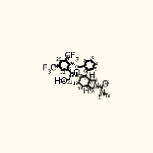 Cc1ccccc1[C@H]1[C@@H]2CN(C(=O)N(C)C)C[C@H]2CC[C@@H]1O[C@@H](CO)c1cc(C(F)(F)F)cc(C(F)(F)F)c1